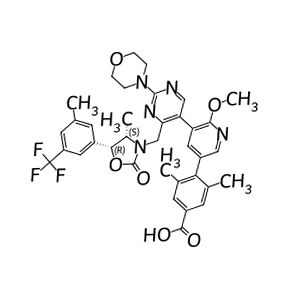 COc1ncc(-c2c(C)cc(C(=O)O)cc2C)cc1-c1cnc(N2CCOCC2)nc1CN1C(=O)O[C@H](c2cc(C)cc(C(F)(F)F)c2)[C@@H]1C